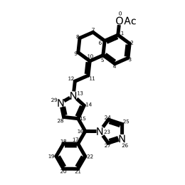 CC(=O)Oc1cccc2c1CCCC2=CCn1cc(C(c2ccccc2)n2ccnc2)cn1